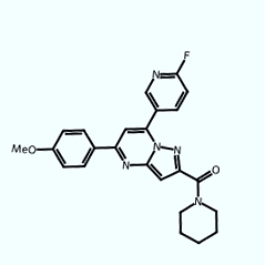 COc1ccc(-c2cc(-c3ccc(F)nc3)n3nc(C(=O)N4CCCCC4)cc3n2)cc1